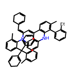 CCc1ccccc1-c1c(C)ccc(/C(C)=C/C(=C\C2=CC=CCC2)N(C)c2c(C)cccc2C(C2=CCCC=C2)(c2ccccc2)c2ccccc2C)c1Nc1ccccc1